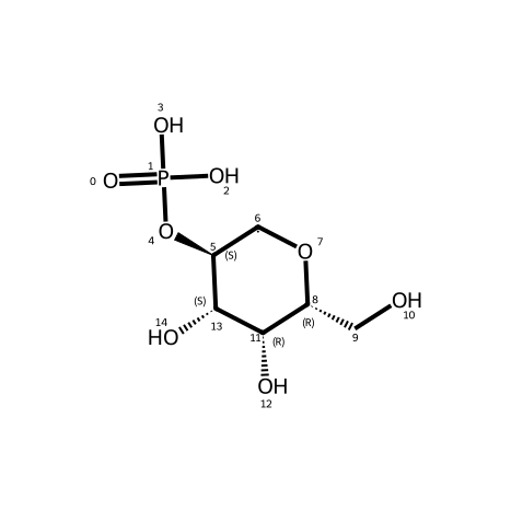 O=P(O)(O)O[C@H]1[CH]O[C@H](CO)[C@H](O)[C@@H]1O